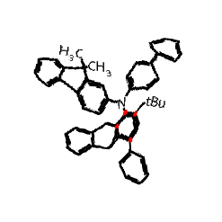 CC(C)(C)c1ccc2c(c1)C1c3ccccc3C2c2c(-c3ccccc3)ccc(N(c3ccc(-c4ccccc4)cc3)c3ccc4c(c3)C(C)(C)c3ccccc3-4)c21